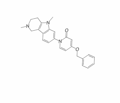 CN1CCc2c(c3ccc(-n4ccc(OCc5ccccc5)cc4=O)cc3n2C)C1